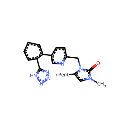 CCCCCc1cn(C)c(=O)n1Cc1ccc(-c2ccccc2-c2nnn[nH]2)cn1